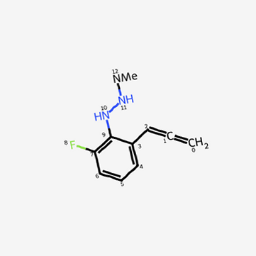 C=C=Cc1cccc(F)c1NNNC